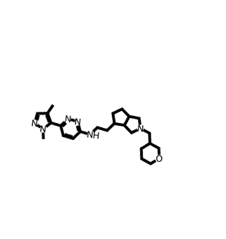 Cc1cnn(C)c1-c1ccc(NCCC2CCC3CN(CC4CCCOC4)CC23)nn1